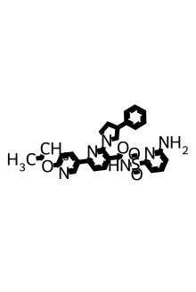 CC(C)Oc1ccc(-c2ccc(C(=O)NS(=O)(=O)c3cccc(N)n3)c(N3CCC(c4ccccc4)C3)n2)cn1